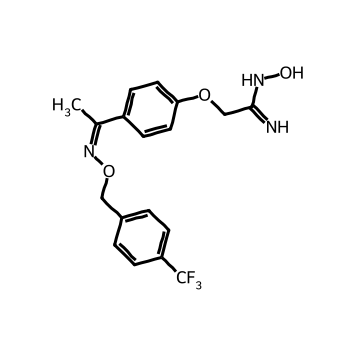 CC(=NOCc1ccc(C(F)(F)F)cc1)c1ccc(OCC(=N)NO)cc1